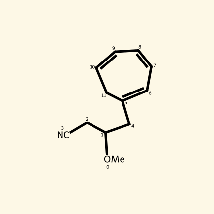 COC(CC#N)CC1=CC=CC=CC1